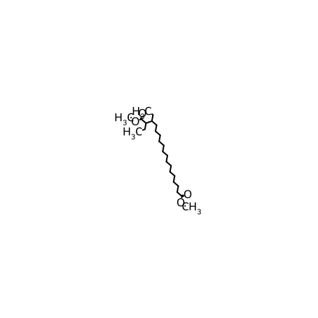 CCC(CCCCCCCCCCCCCCC(=O)OC)C(CC)C(=O)OC